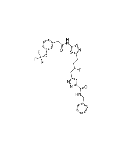 O=C(Cc1cccc(OC(F)(F)F)c1)Nc1nnc(CCC(F)Cn2cc(C(=O)NCc3ccccn3)nn2)s1